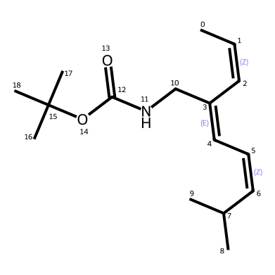 C\C=C/C(=C\C=C/C(C)C)CNC(=O)OC(C)(C)C